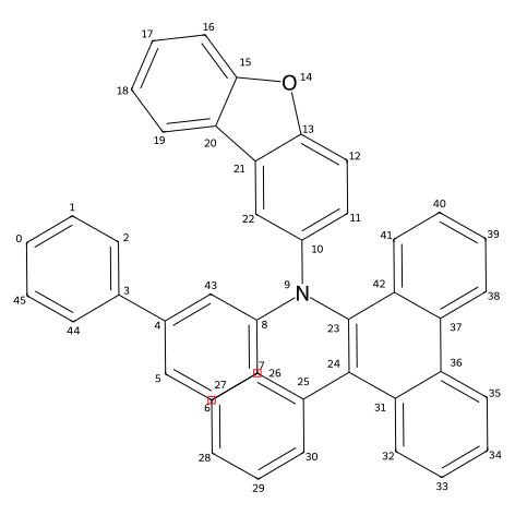 c1ccc(-c2cccc(N(c3ccc4oc5ccccc5c4c3)c3c(-c4ccccc4)c4ccccc4c4ccccc34)c2)cc1